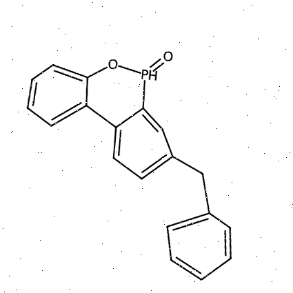 O=[PH]1Oc2ccccc2-c2ccc(Cc3ccccc3)cc21